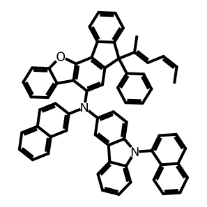 C/C=C\C=C(/C)C1(c2ccccc2)c2ccccc2-c2c1cc(N(c1ccc3ccccc3c1)c1ccc3c(c1)c1ccccc1n3-c1cccc3ccccc13)c1c2oc2ccccc21